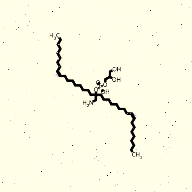 CCCCCCCC/C=C\CCCCCCCCC(CN)(CCCCCCCC/C=C\CCCCCCCC)OP(=O)(O)OCC(O)CO